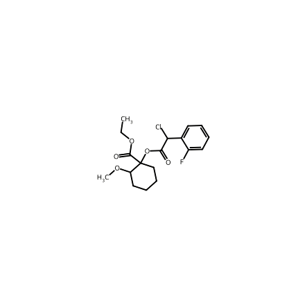 CCOC(=O)C1(OC(=O)C(Cl)c2ccccc2F)CCCCC1OC